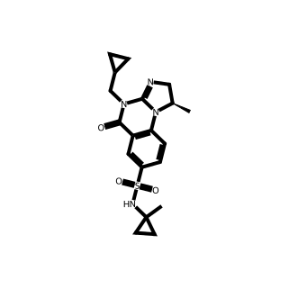 C[C@@H]1CN=C2N(CC3CC3)C(=O)c3cc(S(=O)(=O)NC4(C)CC4)ccc3N21